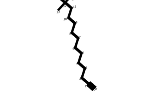 [C]#CCCCCCCCCCCC(C)(C)NC